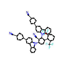 N#Cc1ccc(-c2ccc3c(c2)c2ccccc2n3-c2ccc(-c3c(C(F)(F)F)cccc3C(F)(F)F)c(-n3c4ccccc4c4cc(-c5ccc(C#N)cc5)ccc43)c2C#N)cc1